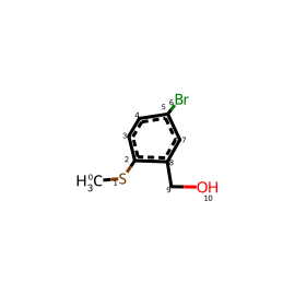 CSc1ccc(Br)cc1CO